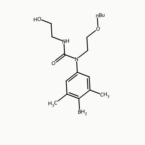 Bc1c(C)cc(N(CCOCCCC)C(=O)NCCO)cc1C